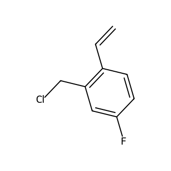 C=Cc1ccc(F)cc1CCl